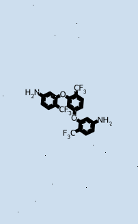 Nc1ccc(C(F)(F)F)c(Oc2ccc(C(F)(F)F)c(Oc3cc(N)ccc3C(F)(F)F)c2)c1